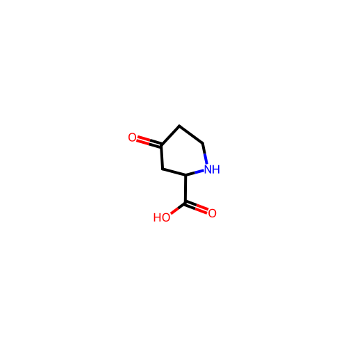 O=C1CCNC(C(=O)O)C1